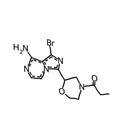 CCC(=O)N1CCOC(c2nc(Br)c3c(N)nccn23)C1